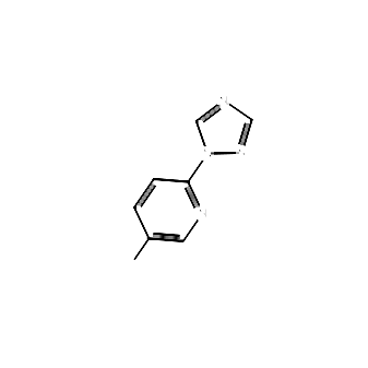 Oc1ccc(-n2cncn2)nc1